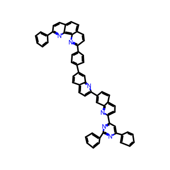 c1ccc(-c2cc(-c3ccc4ccc(-c5ccc6ccc(-c7ccc(-c8ccc9ccc%10ccc(-c%11ccccc%11)nc%10c9n8)cc7)cc6n5)cc4n3)nc(-c3ccccc3)n2)cc1